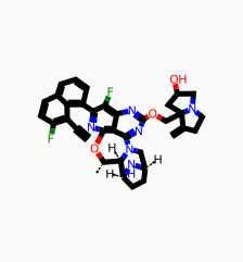 C#Cc1c(F)ccc2cccc(-c3nc4c5c(nc(OCC67CC(O)CN6CCC7=C)nc5c3F)N3C[C@H]5CC[C@H](N5)[C@H]3[C@H](C)O4)c12